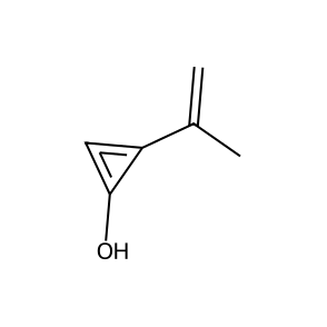 C=C(C)C1=C=C1O